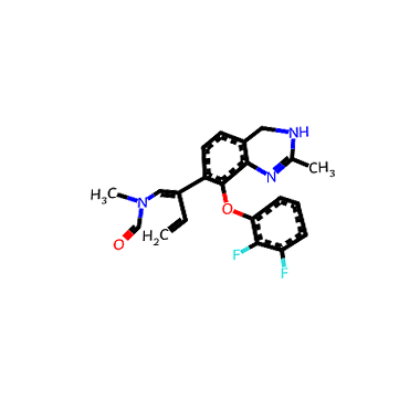 C=C/C(=C\N(C)C=O)c1ccc2c(c1Oc1cccc(F)c1F)N=C(C)NC2